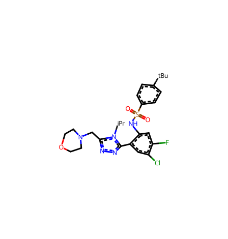 CC(C)n1c(CN2CCOCC2)nnc1-c1cc(Cl)c(F)cc1NS(=O)(=O)c1ccc(C(C)(C)C)cc1